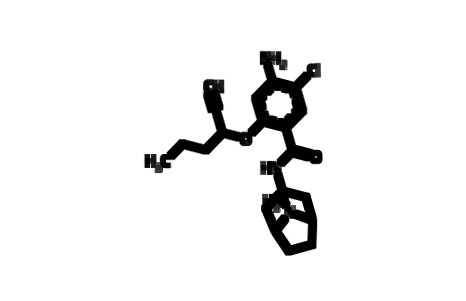 C#CC(CCC)Oc1cc(N)c(Cl)cc1C(=O)NC1CC2CCC(C1)N2C